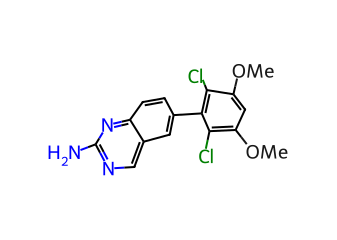 COc1cc(OC)c(Cl)c(-c2ccc3nc(N)ncc3c2)c1Cl